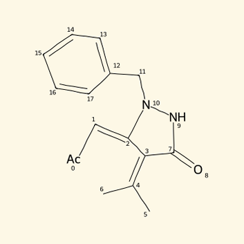 CC(=O)/C=c1\c(=C(C)C)c(=O)[nH]n1Cc1ccccc1